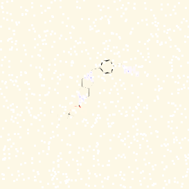 CC(C)(C)OC(=O)N1CC2CN(Cc3ccc(CN)cc3)CC2C1